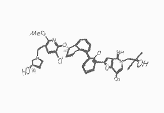 COc1nc(O[C@H]2CCc3c(-c4cccc(-c5cc6c(=N)n(CC(C)(C)O)cc(C#N)c6o5)c4Cl)cccc32)c(Cl)cc1CN1CC[C@@H](O)C1